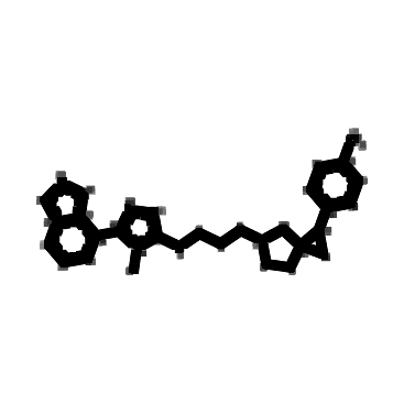 Cn1c(SCCCN2CCC3(CC3c3ccc(C(F)(F)F)cc3)C2)nnc1-c1cccn2cnnc12